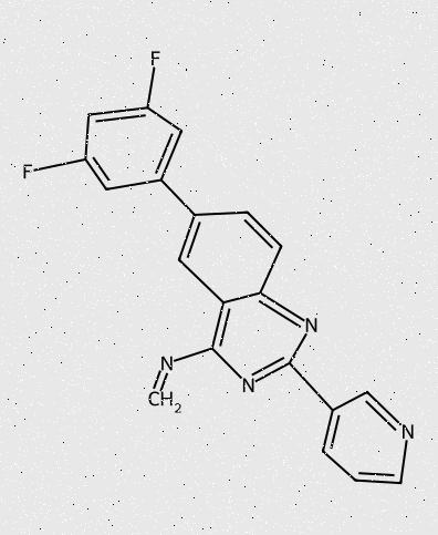 C=Nc1nc(-c2cccnc2)nc2ccc(-c3cc(F)cc(F)c3)cc12